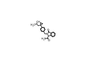 CN(C)CC1(c2ccc(CN3C(=O)c4ccc[c]c4C3C(N)=O)cc2)CC1